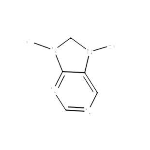 CCN1CN(Cl)c2ncncc21